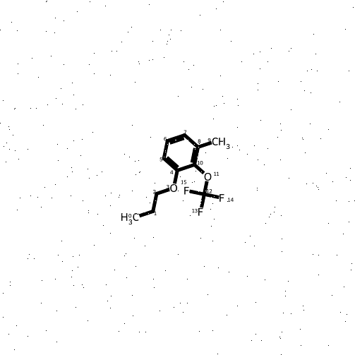 CCCOc1cccc(C)c1OC(F)(F)F